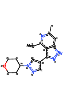 COc1nc(C)cc2[nH]nc(-c3cnn(C4CCOCC4)c3)c12